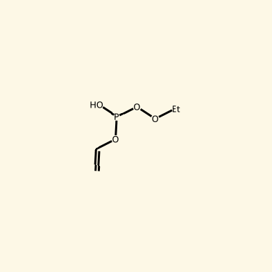 C=COP(O)OOCC